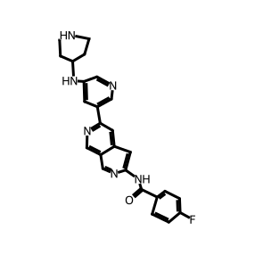 O=C(Nc1cc2cc(-c3cncc(NC4CCNCC4)c3)ncc2cn1)c1ccc(F)cc1